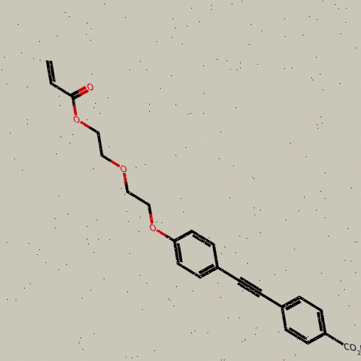 C=CC(=O)OCCOCCOc1ccc(C#Cc2ccc(C(=O)O)cc2)cc1